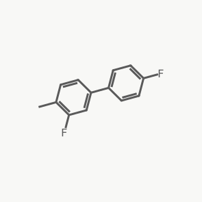 Cc1ccc(-c2ccc(F)cc2)cc1F